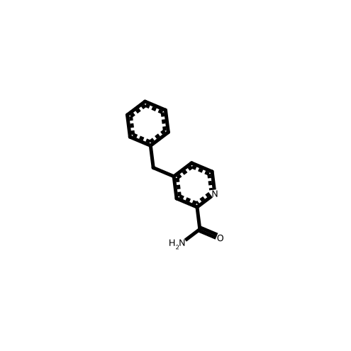 NC(=O)c1cc(Cc2ccccc2)ccn1